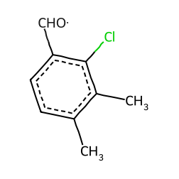 Cc1ccc([C]=O)c(Cl)c1C